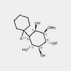 CO[C@H]1[C@H](O)[C@@H](O)[C@H](O)[C@]2(OC23CCCCC3)[C@H]1O